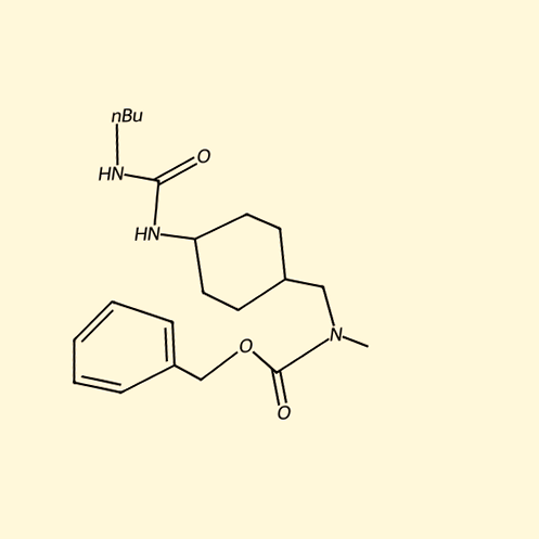 CCCCNC(=O)NC1CCC(CN(C)C(=O)OCc2ccccc2)CC1